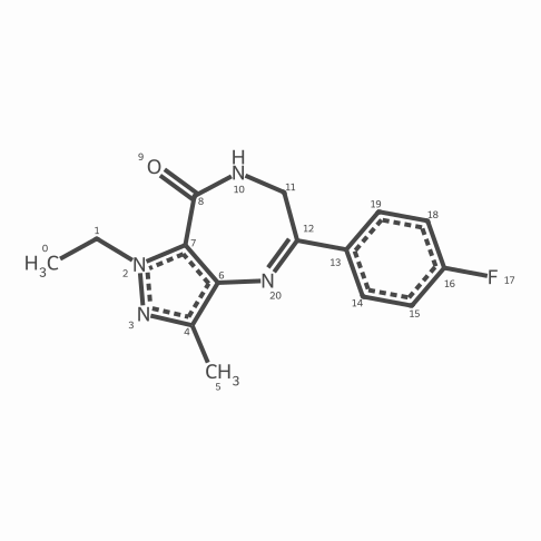 CCn1nc(C)c2c1C(=O)NCC(c1ccc(F)cc1)=N2